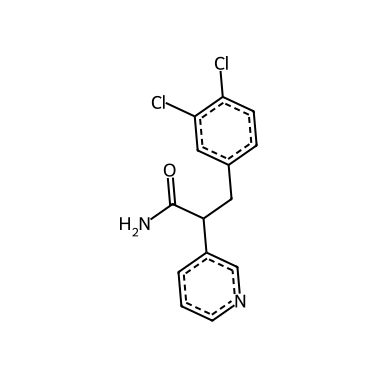 NC(=O)C(Cc1ccc(Cl)c(Cl)c1)c1cccnc1